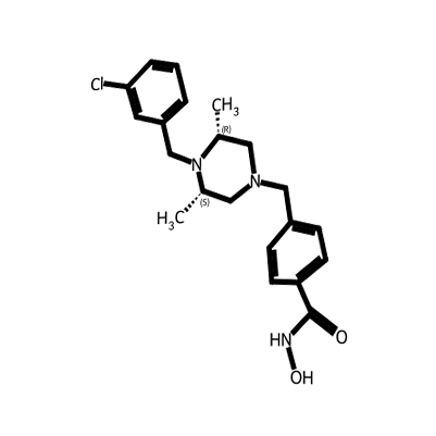 C[C@@H]1CN(Cc2ccc(C(=O)NO)cc2)C[C@H](C)N1Cc1cccc(Cl)c1